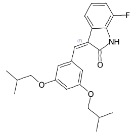 CC(C)COc1cc(/C=C2\C(=O)Nc3c(F)cccc32)cc(OCC(C)C)c1